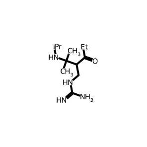 CCC(=O)C(CNC(=N)N)C(C)(C)NC(C)C